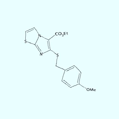 CCOC(=O)c1c(SCc2ccc(OC)cc2)nc2sccn12